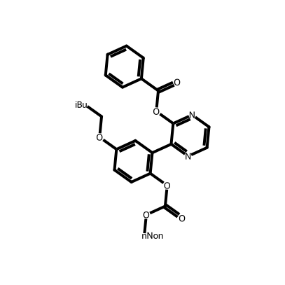 CCCCCCCCCOC(=O)Oc1ccc(OCC(C)CC)cc1-c1nccnc1OC(=O)c1ccccc1